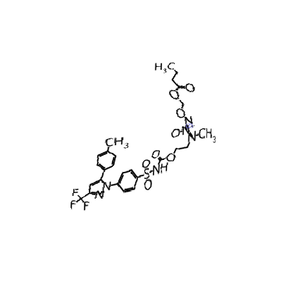 CCCC(=O)OCO/N=[N+](\[O-])N(C)CCOC(=O)NS(=O)(=O)c1ccc(-n2nc(C(F)(F)F)cc2-c2ccc(C)cc2)cc1